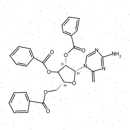 C=C1N=C(N)N=CN1[C@@H]1O[C@H](COC(=O)c2ccccc2)C(OC(=O)c2ccccc2)[C@@H]1OC(=O)c1ccccc1